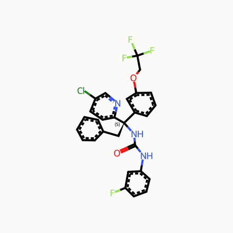 O=C(Nc1cccc(F)c1)N[C@@](Cc1ccccc1)(c1cccc(OCC(F)(F)F)c1)c1ccc(Cl)cn1